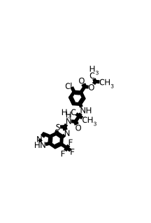 CC(C)OC(=O)c1cc(NC(C)(C)C(=O)Nc2nc3c(C(F)(F)F)cc4[nH]ncc4c3s2)ccc1Cl